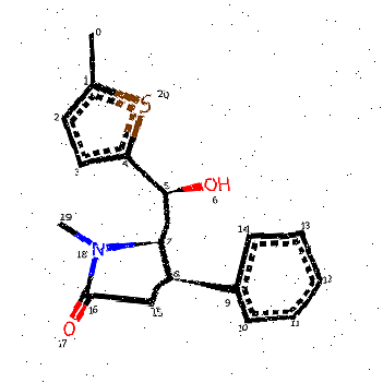 Cc1ccc([C@@H](O)[C@H]2[C@@H](c3ccccc3)CC(=O)N2C)s1